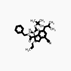 C=CC[C@H]1Cc2c(C#N)cc(CC(C)C)cc2[C@]1(C(=O)OCc1ccccc1)N(C)C(=O)OC(C)(C)C